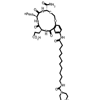 CCCCC[C@@H]1NC(=O)[C@H](CCC(=O)O)NC(=O)c2cc(NC(=O)CCCCCCCCCCNC(=O)N3CCNCC3)ccc2OCC[C@@H](C(N)=O)NC1=O